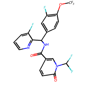 O=C(NC(c1ccc(OC(F)(F)F)c(F)c1)c1ncccc1F)c1ccc(=O)n(C(F)F)c1